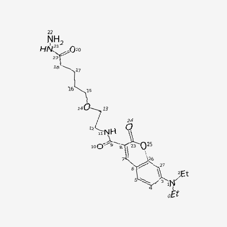 CCN(CC)c1ccc2cc(C(=O)NCCOCCCCC(=O)NN)c(=O)oc2c1